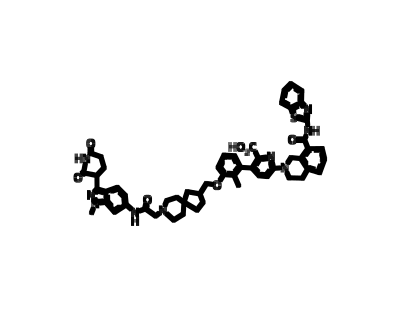 Cc1c(OCC2CCC3(CCN(CC(=O)Nc4ccc5c(C6CCC(=O)NC6=O)nn(C)c5c4)CC3)C2)cccc1-c1ccc(N2CCc3cccc(C(=O)Nc4nc5ccccc5s4)c3C2)nc1C(=O)O